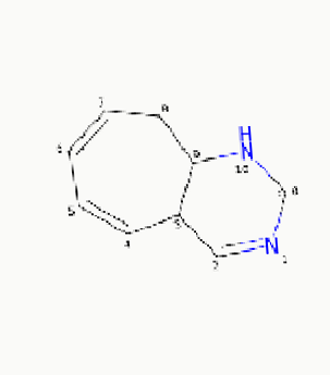 [C]1N=CC2C=CC=CCC2N1